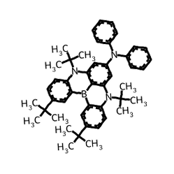 CC(C)(C)c1ccc2c(c1)B1c3cc(C(C)(C)C)ccc3N(C(C)(C)C)c3cc(N(c4ccccc4)c4ccccc4)cc(c31)N2C(C)(C)C